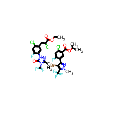 CC(C)OC(=O)c1cc(-c2nn(C)c(C(F)(F)F)c2Br)c(F)cc1Cl.CCOC(=O)C(Cl)Cc1cc(-n2nc(C)n(C(F)F)c2=O)c(F)cc1Cl